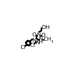 CCN1C(=O)N(CCCO)C(=O)C2[C@H]1N=C(Cl)N2Cc1ccc(Cl)cc1